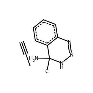 C#CC.NC1(Cl)NN=Nc2ccccc21